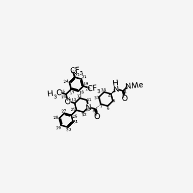 CNC(=O)N[C@H]1CC[C@H](C(=O)N2CCC(OC(C)c3cc(C(F)(F)F)cc(C(F)(F)F)c3)C(c3ccccc3)C2)CC1